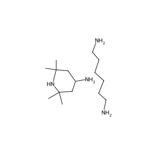 CC1(C)CC(N)CC(C)(C)N1.NCCCCCCN